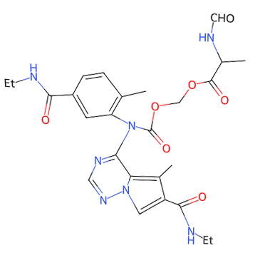 CCNC(=O)c1ccc(C)c(N(C(=O)OCOC(=O)C(C)NC=O)c2ncnn3cc(C(=O)NCC)c(C)c23)c1